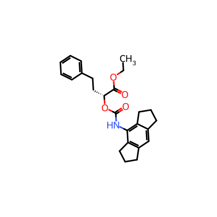 CCOC(=O)[C@@H](CCc1ccccc1)OC(=O)Nc1c2c(cc3c1CCC3)CCC2